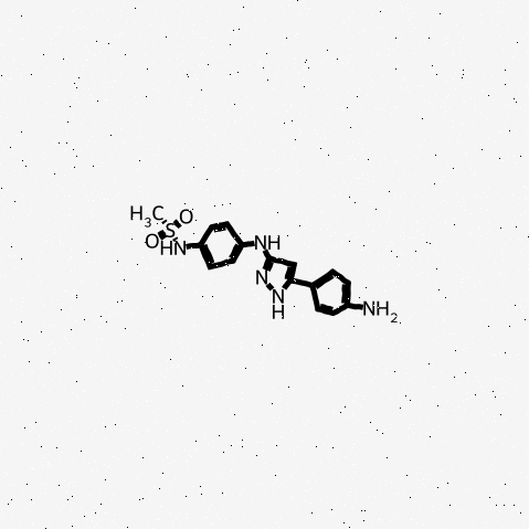 CS(=O)(=O)Nc1ccc(Nc2cc(-c3ccc(N)cc3)[nH]n2)cc1